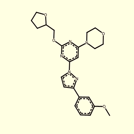 COc1cccc(-c2ccn(-c3cc(N4CCOCC4)nc(OCC4CCCO4)n3)n2)c1